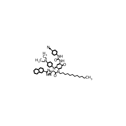 CCCCCCCCCCCCN(C(=O)Cn1nnc(-c2ccc3ccccc3c2)n1)C1=CC(=O)C(NC(=O)Nc2ccc(C#N)cc2)=CC1=Nc1ccc(N(CC)CC)cc1